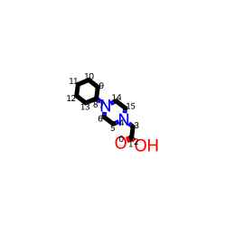 O=C(O)CN1CCN(C2CCCCC2)CC1